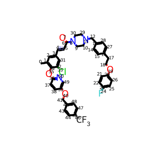 Cc1cc(/C=C/C(=O)N2CCN(Cc3ccc(CCOc4ccc(F)cc4)cc3)CC2)cc(Cl)c1Oc1ccc(OCc2ccc(C(F)(F)F)cc2)cn1